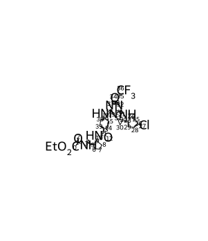 CCOC(=O)C(=O)NCC1CCCC1NC(=O)c1ccc(Nc2nc(NC3(c4ccc(Cl)cc4)CC3)nc(OCC(F)(F)F)n2)cc1